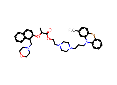 CC(Oc1ccc2ccccc2c1CN1CCOCC1)C(=O)OCCN1CCN(CCCN2c3ccccc3Sc3ccc(C(F)(F)F)cc32)CC1